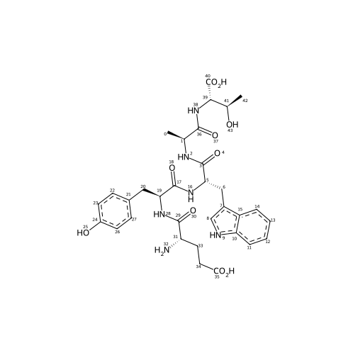 C[C@H](NC(=O)[C@H](Cc1c[nH]c2ccccc12)NC(=O)[C@H](Cc1ccc(O)cc1)NC(=O)[C@@H](N)CCC(=O)O)C(=O)N[C@H](C(=O)O)[C@@H](C)O